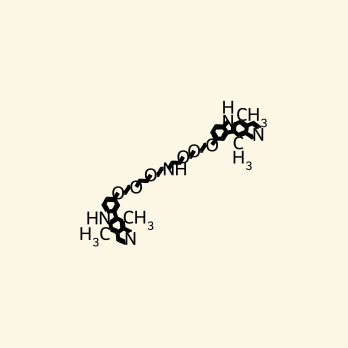 Cc1c2ccncc2c(C)c2c1[nH]c1ccc(OCCOCCOCCNCCOCOCCOc3ccc4[nH]c5c(C)c6ccncc6c(C)c5c4c3)cc12